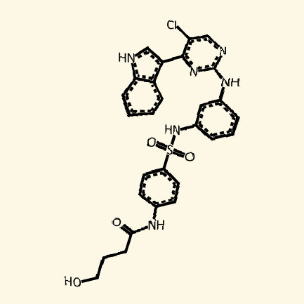 O=C(CCCO)Nc1ccc(S(=O)(=O)Nc2cccc(Nc3ncc(Cl)c(-c4c[nH]c5ccccc45)n3)c2)cc1